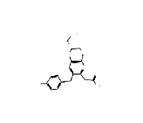 COC[C@H]1COc2nc(CC(=O)OC)c(Cc3ccc(F)cc3)cc2N1